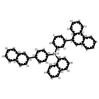 c1cc(-c2cc3ccccc3c3ccccc23)cc(N(c2ccc(-c3ccc4ccccc4c3)cc2)c2cccc3ccccc23)c1